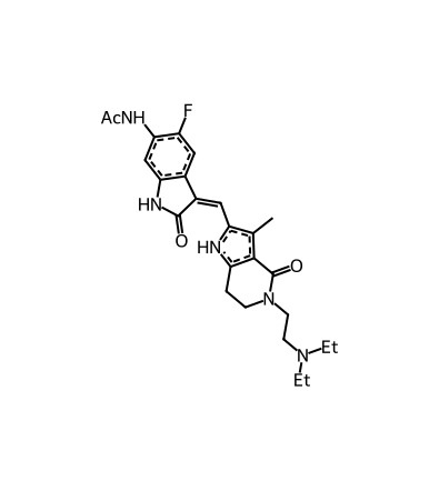 CCN(CC)CCN1CCc2[nH]c(/C=C3\C(=O)Nc4cc(NC(C)=O)c(F)cc43)c(C)c2C1=O